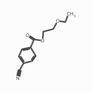 CCOCCOC(=O)c1ccc(C#N)cc1